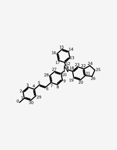 Cc1ccc(C=Cc2ccc(N(c3ccccc3)c3ccc4c(c3)CCC4)cc2)cc1